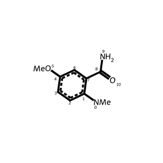 CNc1ccc(OC)cc1C(N)=O